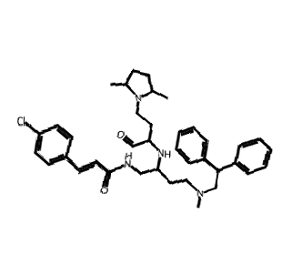 CC1CCC(C)N1CCC(C=O)NC(CCN(C)CC(c1ccccc1)c1ccccc1)CNC(=O)/C=C/c1ccc(Cl)cc1